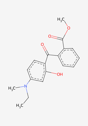 CCN(C)c1ccc(C(=O)c2ccccc2C(=O)OC)c(O)c1